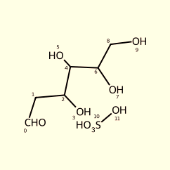 O=CCC(O)C(O)C(O)CO.O=S(=O)(O)O